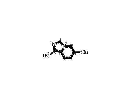 CC(C)(C)c1ccc2c(C(C)(C)C)ncn2c1